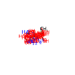 CCCCOC1OC(CSCCC(N)C(=O)O)C(OC2OC(CSCCC(N)C(=O)O)C(OC3OC(CSCCC(N)C(=O)O)C(OC4OC(CSCCC(N)C(=O)O)C(OC5OC(CSCCC(N)C(=O)O)C(OC6OC(CSCCC(N)C(=O)O)C(OC7OC(CSCCC(N)C(=O)O)C(OC8OC(CSCCC(N)C(=O)O)CC(O)C8O)C(O)C7O)C(O)C6O)C(O)C5O)C(O)C4O)C(O)C3O)C(O)C2O)C(O)C1O